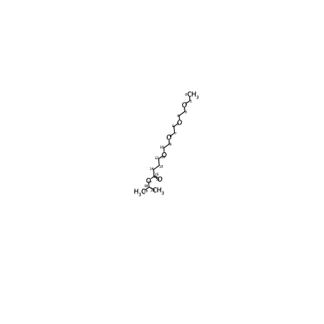 CCOCCOCCOCCOCCCC(=O)OC(C)C